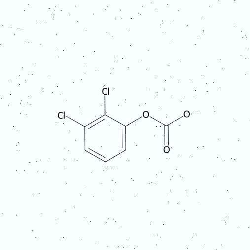 [O]C(=O)Oc1cccc(Cl)c1Cl